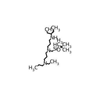 CCCN(CC)CCCN(CCCNC(CC)CC)C[SiH2]OC(C)(C)C